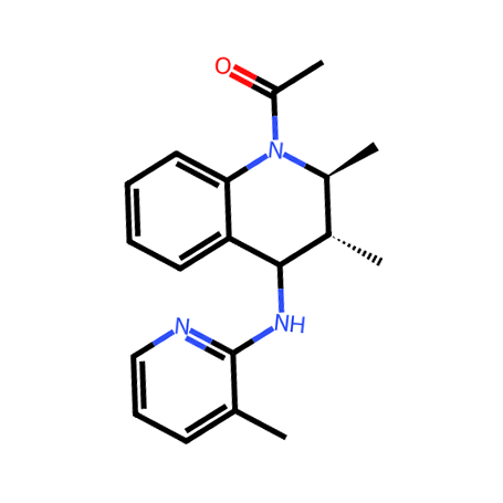 CC(=O)N1c2ccccc2C(Nc2ncccc2C)[C@@H](C)[C@@H]1C